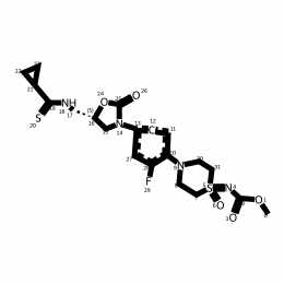 COC(=O)N=S1(=O)CCN(c2ccc(N3C[C@H](CNC(=S)C4CC4)OC3=O)cc2F)CC1